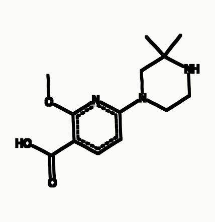 COc1nc(N2CCNC(C)(C)C2)ccc1C(=O)O